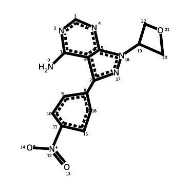 Nc1ncnc2c1c(-c1ccc([N+](=O)[O-])cc1)nn2C1COC1